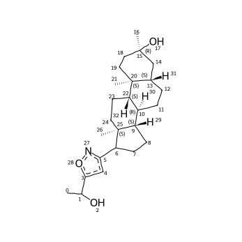 CC(O)c1cc(C2CC[C@H]3[C@@H]4CC[C@H]5C[C@](C)(O)CC[C@]5(C)[C@H]4CC[C@]23C)no1